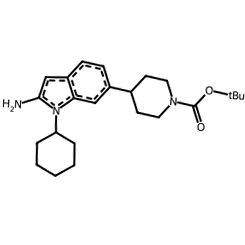 CC(C)(C)OC(=O)N1CCC(c2ccc3cc(N)n(C4CCCCC4)c3c2)CC1